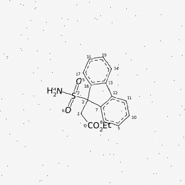 CCOC(=O)CC1(S(N)(=O)=O)c2ccccc2-c2ccccc21